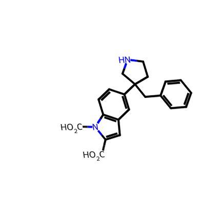 O=C(O)c1cc2cc(C3(Cc4ccccc4)CCNC3)ccc2n1C(=O)O